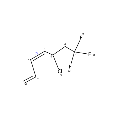 C=C/C=C\C(Cl)CC(F)(F)F